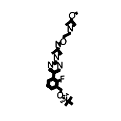 COC1CN(CCON=C2CN(c3ncc(-c4cccc(CO[Si](C)(C)C(C)(C)C)c4F)cn3)C2)C1